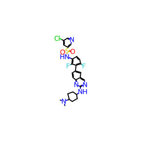 CN(C)C1CCC(Nc2ncc3cc(-c4c(F)ccc(NS(=O)(=O)c5cncc(Cl)c5)c4F)ccc3n2)CC1